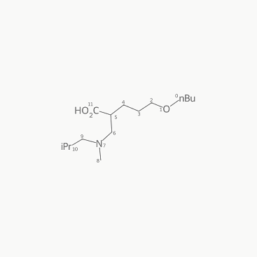 CCCCOCCCC(CN(C)CC(C)C)C(=O)O